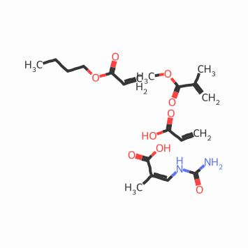 C=C(C)C(=O)OC.C=CC(=O)O.C=CC(=O)OCCCC.CC(=CNC(N)=O)C(=O)O